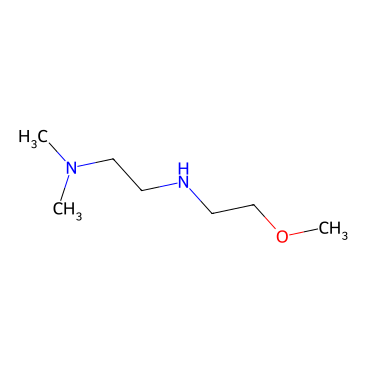 COCCNCCN(C)C